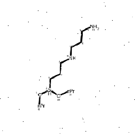 CCCO[SiH](CCCNCCCN)OCCC